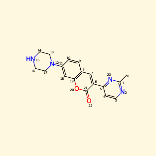 Cc1nccc(-c2cc3ccc(N4CCNCC4)cc3oc2=O)n1